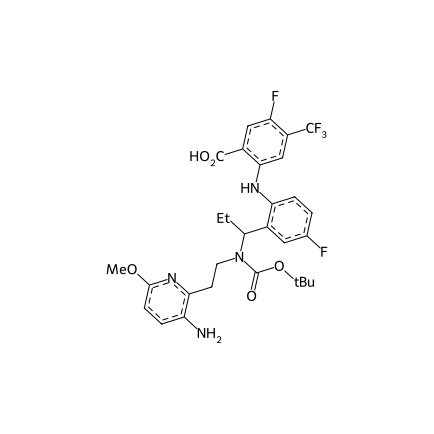 CCC(c1cc(F)ccc1Nc1cc(C(F)(F)F)c(F)cc1C(=O)O)N(CCc1nc(OC)ccc1N)C(=O)OC(C)(C)C